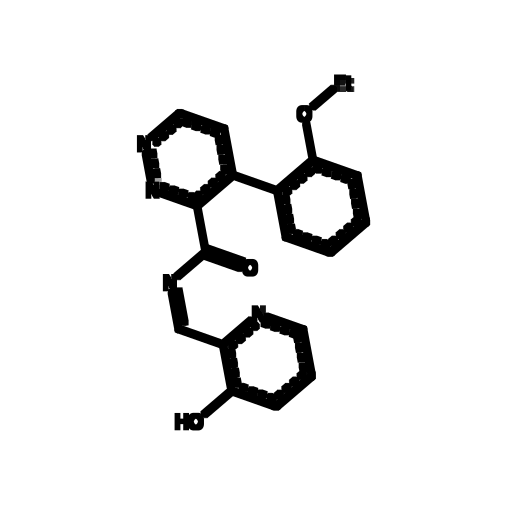 CCOc1ccccc1-c1ccnnc1C(=O)/N=C\c1ncccc1O